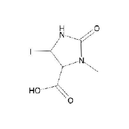 CN1C(=O)NC(I)C1C(=O)O